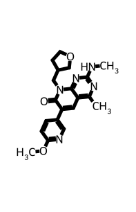 CNc1nc(C)c2cc(-c3ccc(OC)nc3)c(=O)n(CC3CCOC3)c2n1